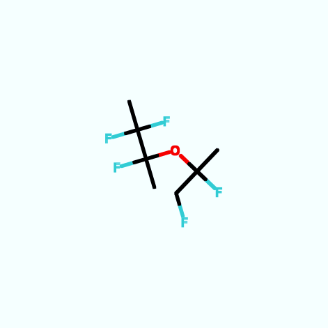 CC(F)(CF)OC(C)(F)C(C)(F)F